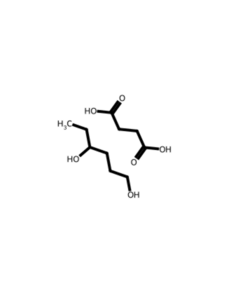 CCC(O)CCCO.O=C(O)CCC(=O)O